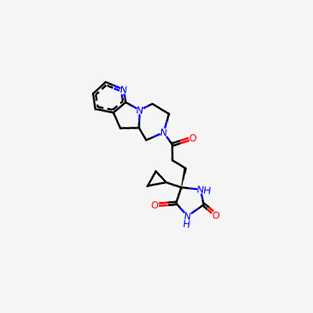 O=C1NC(=O)[C@](CCC(=O)N2CCN3c4ncccc4CC3C2)(C2CC2)N1